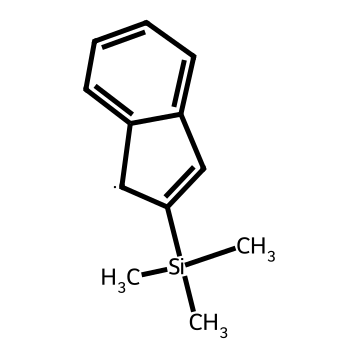 C[Si](C)(C)C1=Cc2ccccc2[CH]1